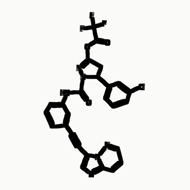 O=C(Nc1cccc(C#Cc2cnc3cccnn23)c1)N1N=C(OC(=O)C(F)(F)F)CC1c1cccc(Cl)c1